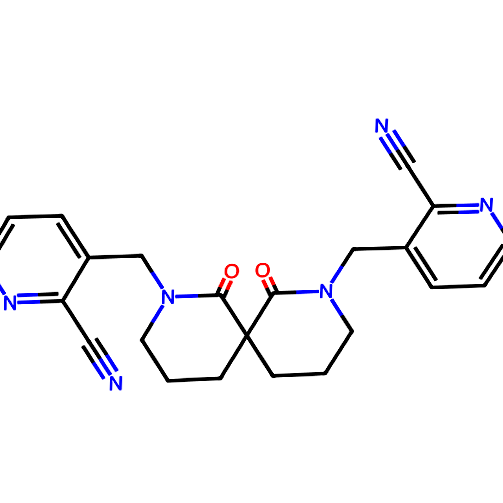 N#Cc1ncccc1CN1CCCC2(CCCN(Cc3cccnc3C#N)C2=O)C1=O